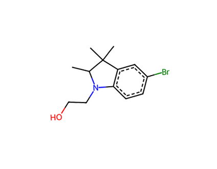 CC1N(CCO)c2ccc(Br)cc2C1(C)C